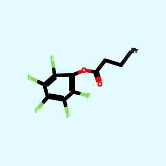 CC(C)CCC(=O)Oc1c(F)c(F)c(F)c(F)c1F